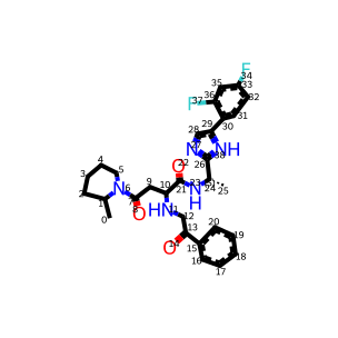 CC1CCCCN1C(=O)CC(NCC(=O)c1ccccc1)C(=O)N[C@@H](C)c1ncc(-c2ccc(F)cc2F)[nH]1